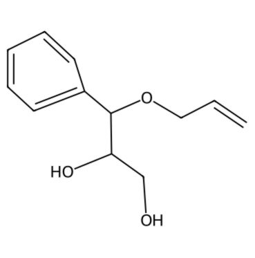 C=CCOC(c1ccccc1)C(O)CO